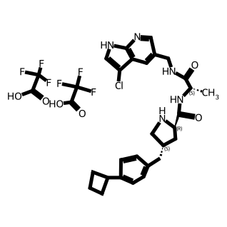 C[C@H](NC(=O)[C@H]1C[C@H](Cc2ccc(C3CCC3)cc2)CN1)C(=O)NCc1cnc2[nH]cc(Cl)c2c1.O=C(O)C(F)(F)F.O=C(O)C(F)(F)F